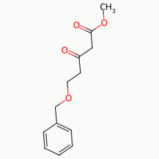 COC(=O)CC(=O)CCOCc1ccccc1